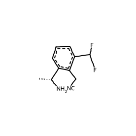 C[C@@H](N)c1cccc(C(F)F)c1CC#N